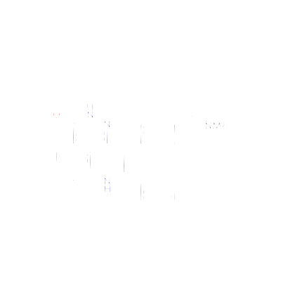 CNCc1ccc(C2c3n[nH]c(=O)c4cccc(c34)NC2c2ccccc2)cc1